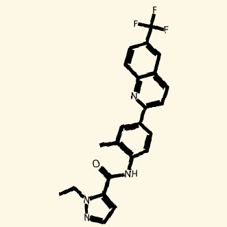 CCn1nccc1C(=O)Nc1ccc(-c2ccc3cc(C(F)(F)F)ccc3n2)cc1C